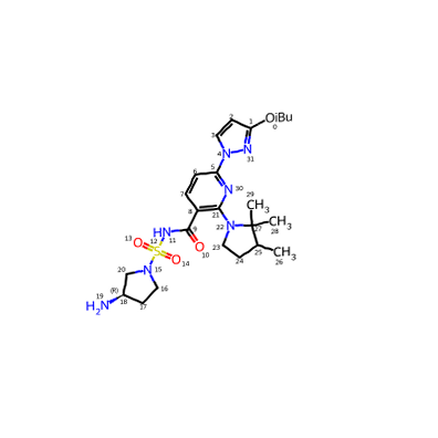 CC(C)COc1ccn(-c2ccc(C(=O)NS(=O)(=O)N3CC[C@@H](N)C3)c(N3CCC(C)C3(C)C)n2)n1